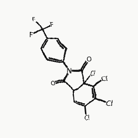 O=C1C2C=C(Cl)C(Cl)=C(Cl)C2(Cl)C(=O)N1c1ccc(C(F)(F)F)cc1